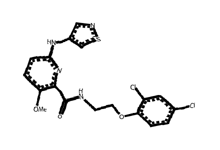 COc1ccc(Nc2cnsc2)nc1C(=O)NCCOc1ccc(Cl)cc1Cl